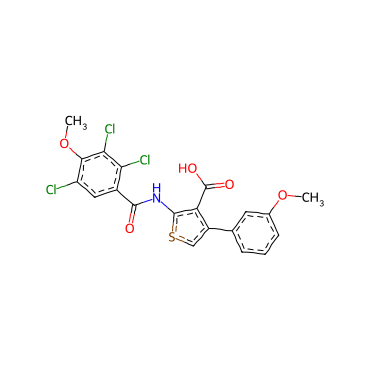 COc1cccc(-c2csc(NC(=O)c3cc(Cl)c(OC)c(Cl)c3Cl)c2C(=O)O)c1